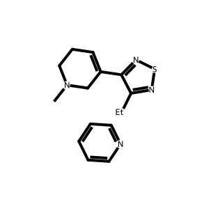 CCc1nsnc1C1=CCCN(C)C1.c1ccncc1